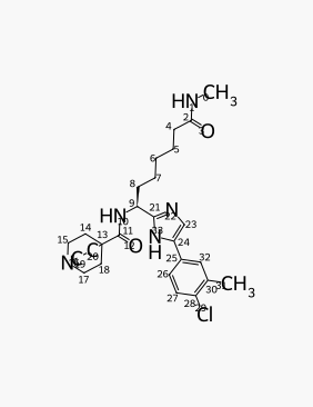 CNC(=O)CCCCC[C@H](NC(=O)C12CCN(CC1)CC2)c1ncc(-c2ccc(Cl)c(C)c2)[nH]1